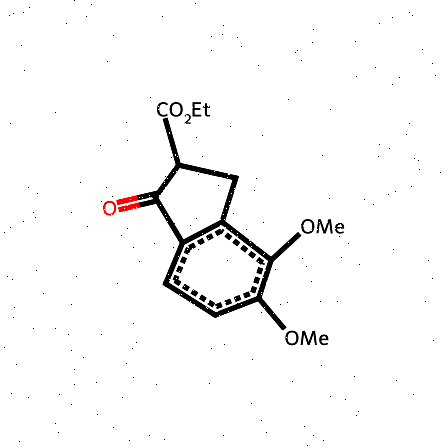 CCOC(=O)C1Cc2c(ccc(OC)c2OC)C1=O